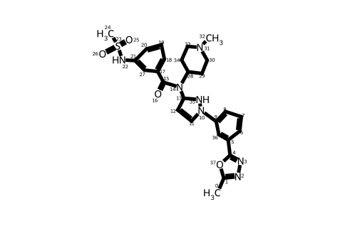 Cc1nnc(-c2cccc(N3C=CC(N(C(=O)c4cccc(NS(C)(=O)=O)c4)C4CCN(C)CC4)N3)c2)o1